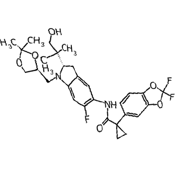 CC1(C)OC[C@H](CN2c3cc(F)c(NC(=O)C4(c5ccc6c(c5)OC(F)(F)O6)CC4)cc3C[C@H]2C(C)(C)CO)O1